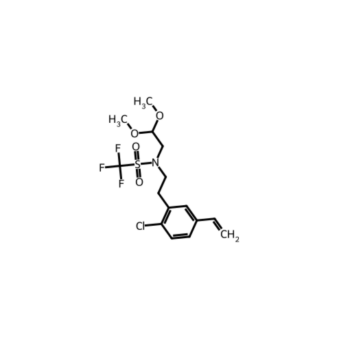 C=Cc1ccc(Cl)c(CCN(CC(OC)OC)S(=O)(=O)C(F)(F)F)c1